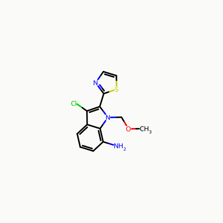 COCn1c(-c2nccs2)c(Cl)c2cccc(N)c21